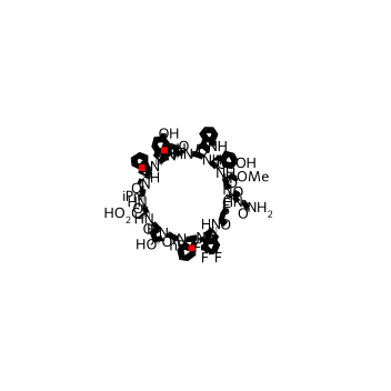 CCCC[C@H]1C(=O)N2C[C@H](O)C[C@@H]2C(=O)N[C@@H](CC(=O)O)C(=O)N[C@@H](C(C)C)C(=O)N(C)[C@@H](Cc2ccccc2)C(=O)N[C@@H](Cc2ccc(O)cc2)C(=O)N2CCC[C@@H]2C(=O)N[C@@H](Cc2c[nH]c3ccccc23)C(=O)N[C@@H](Cc2ccc(O)cc2)C(=O)N[C@@H](CCOC)C(=O)N[C@H](C(=O)NCC(N)=O)CSCC(=O)N[C@@H](Cc2cc(F)c(F)c(F)c2)C(=O)N(C)[C@@H](Cc2ccccc2)C(=O)N1C